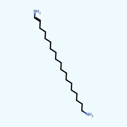 NC=CCCCCCCCCCCCCCCCCCN